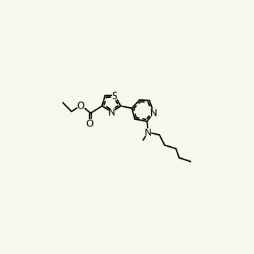 CCCCCN(C)c1cc(-c2nc(C(=O)OCC)cs2)ccn1